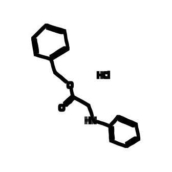 Cl.O=C(CNc1ccccc1)OCc1ccccc1